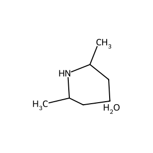 CC1CCCC(C)N1.O